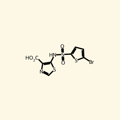 O=C(O)c1ncsc1NS(=O)(=O)c1ccc(Br)s1